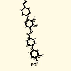 C=CC1CCC(c2ccc(OCc3ccc(-c4ccc(OCC)c(F)c4)cc3)c(F)c2F)CC1